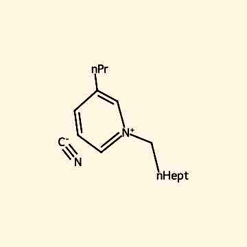 CCCCCCCC[n+]1cccc(CCC)c1.[C-]#N